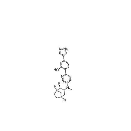 CN(c1ccc(-c2ccc(-c3cn[nH]c3)cc2O)nn1)[C@H]1C[C@@H]2CC[C@@H](C2)[C@H]1F